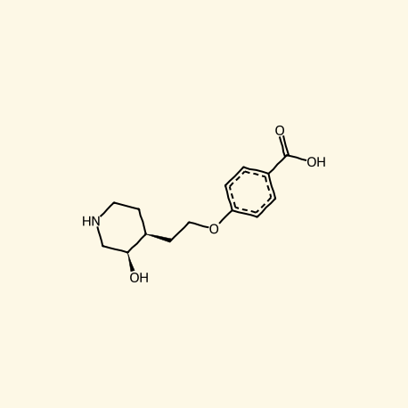 O=C(O)c1ccc(OCC[C@@H]2CCNC[C@@H]2O)cc1